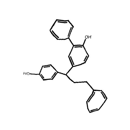 Oc1ccc(C(CCc2ccccc2)c2ccc(O)c(-c3ccccc3)c2)cc1